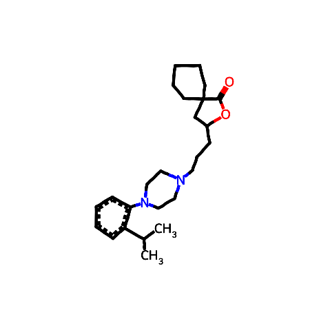 CC(C)c1ccccc1N1CCN(CCCC2CC3(CCCCC3)C(=O)O2)CC1